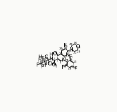 CC(C)(NC(=O)c1cn(-c2c(F)cc(F)cc2F)c2nc(N3CCOCC3)c(F)cc2c1=O)C(F)(F)C(F)(F)F